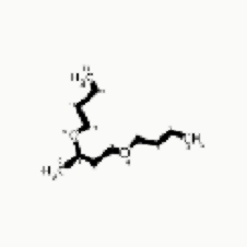 [CH2]C(CCOCCCC)OCCCC